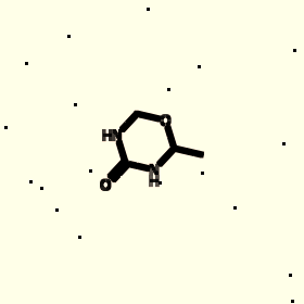 CC1NC(=O)NCO1